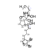 C/C=C\C[C@@H](O)C(O)(C(N)=O)C1CCC[C@@H]1/C(O)=C\CCCc1csc(Br)c1Br